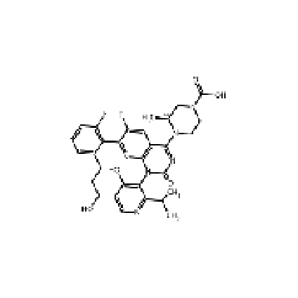 CC(C)c1nccc(O)c1-n1c(=O)nc(N2CCN(C(=O)O)C[C@@H]2C)c2cc(F)c(-c3c(F)cccc3CCCO)nc21